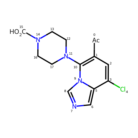 CC(=O)c1cc(Cl)c2cncn2c1N1CCN(C(=O)O)CC1